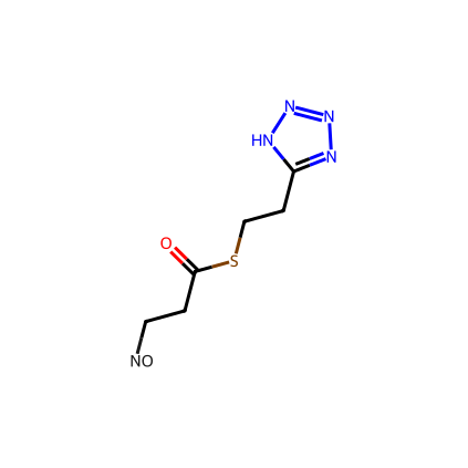 O=NCCC(=O)SCCc1nnn[nH]1